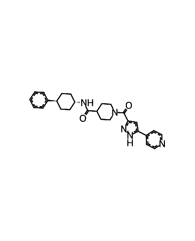 O=C(N[C@H]1CC[C@H](c2ccccc2)CC1)C1CCN(C(=O)c2cc(-c3ccncc3)[nH]n2)CC1